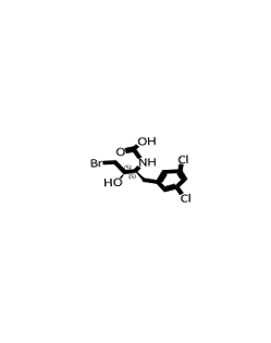 O=C(O)N[C@@H](Cc1cc(Cl)cc(Cl)c1)[C@H](O)CBr